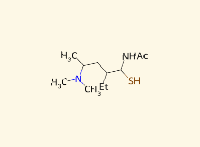 CCC(CC(C)N(C)C)C(S)NC(C)=O